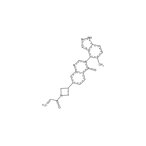 C=CC(=O)N1CC(c2ccc3c(=O)n(-c4c(C)ccc5[nH]ncc45)cnc3c2)C1